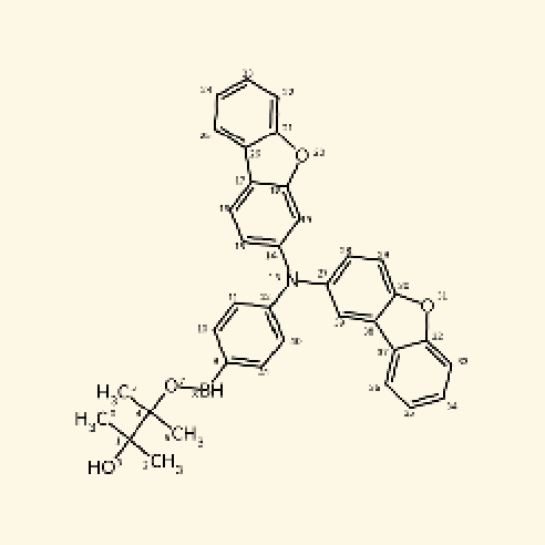 CC(C)(O)C(C)(C)OBc1ccc(N(c2ccc3c(c2)oc2ccccc23)c2ccc3oc4ccccc4c3c2)cc1